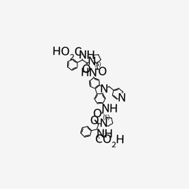 O=C(O)NC(C(=O)N1CCC[C@H]1C(=O)Nc1ccc2c3ccc(NC(=O)[C@@H]4CCCN4C(=O)C(NC(=O)O)c4ccccc4)cc3n(Cc3ccncc3)c2c1)c1ccccc1